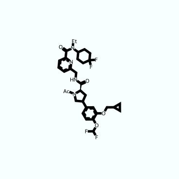 CCN(C(=O)c1cccc(CNC(=O)[C@H]2CC(c3ccc(OC(F)F)c(OCC4CC4)c3)CN2C(C)=O)n1)C1CCC(F)(F)CC1